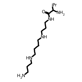 CC(C)C(N)C(=O)NCCCNCCCCNCCCN